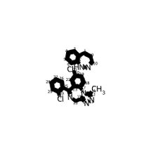 C1=Cc2ccccc2NN=C1.Cc1nnc2n1-c1ccc(Cl)cc1C(c1ccccc1Cl)=NC2